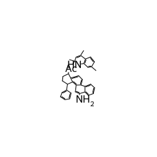 CC(=O)C1CCC(c2ccccc2)c2c1ccc1c2cc(N)c2ccccc21.CC1=CC(C)(C)Nc2cc(C)ccc21